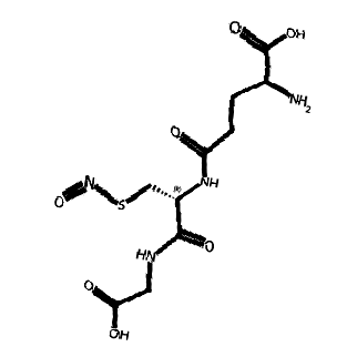 NC(CCC(=O)N[C@@H](CSN=O)C(=O)NCC(=O)O)C(=O)O